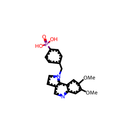 COc1cc2ncc3ccn(Cc4ccc(P(=O)(O)O)cc4)c3c2cc1OC